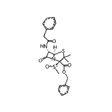 C[S+]([O-])[C@@]1(C(=O)OCc2ccccc2)N2C(=O)[C@H](NC(=O)Cc3ccccc3)[C@H]2SC1(C)C